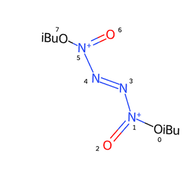 CC(C)CO[N+](=O)N=N[N+](=O)OCC(C)C